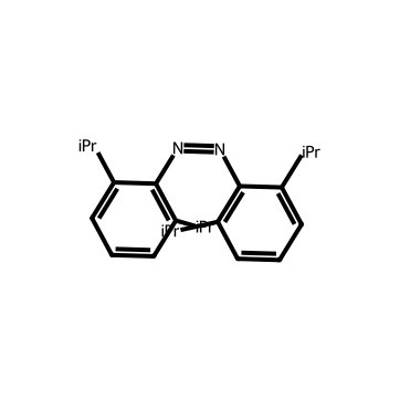 CC(C)c1cccc(C(C)C)c1/N=N\c1c(C(C)C)cccc1C(C)C